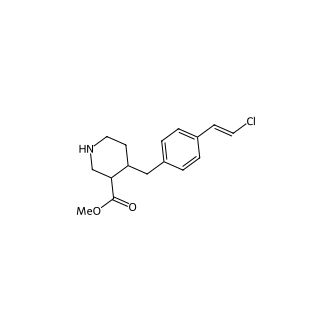 COC(=O)C1CNCCC1Cc1ccc(C=CCl)cc1